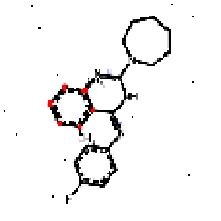 Cc1cccc(C)c1/C(=N\c1ccc(F)cc1)N/C(=N\c1ccccc1)N1CCCCCC1